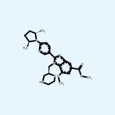 COC(=O)c1cc(OC)c2c(c1)nc(-c1ccc(N3[C@@H](C)CC[C@@H]3C)nc1)n2C[C@@H]1CNCCO1